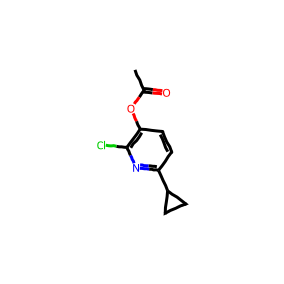 CC(=O)Oc1ccc(C2CC2)nc1Cl